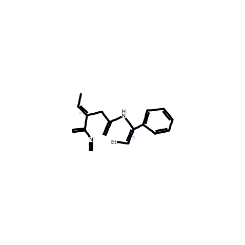 C=NC(=C)/C(=C/C)CC(=C)N/C(=C\CC)c1ccccc1